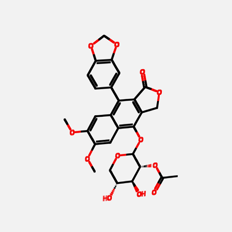 COc1cc2c(OC3OC[C@@H](O)[C@H](O)[C@H]3OC(C)=O)c3c(c(-c4ccc5c(c4)OCO5)c2cc1OC)C(=O)OC3